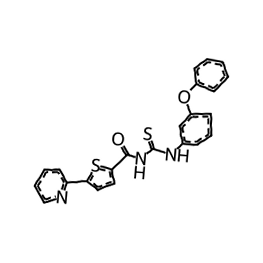 O=C(NC(=S)Nc1cccc(Oc2ccccc2)c1)c1ccc(-c2ccccn2)s1